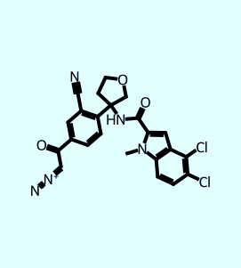 Cn1c(C(=O)NC2(c3ccc(C(=O)C=[N+]=[N-])cc3C#N)CCOC2)cc2c(Cl)c(Cl)ccc21